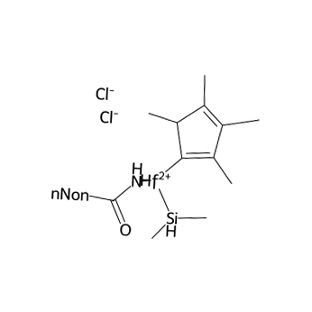 CCCCCCCCCC(=O)[NH][Hf+2]([C]1=C(C)C(C)=C(C)C1C)[SiH](C)C.[Cl-].[Cl-]